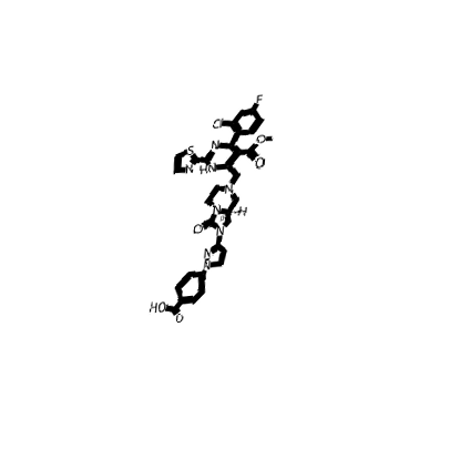 COC(=O)C1=C(CN2CCN3C(=O)N(c4ccn(-c5ccc(C(=O)O)cc5)n4)C[C@@H]3C2)NC(c2nccs2)=NC1c1ccc(F)cc1Cl